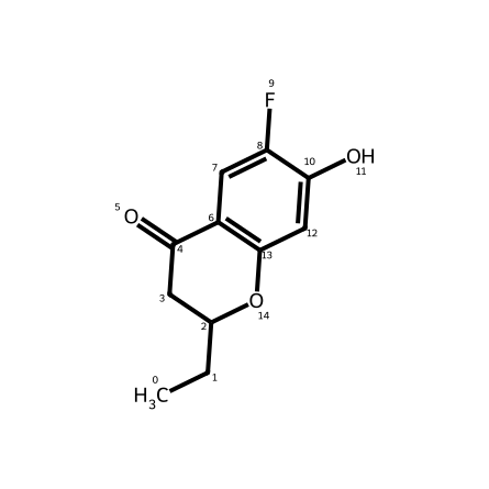 CCC1CC(=O)c2cc(F)c(O)cc2O1